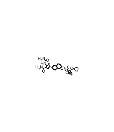 CC(C)(NCc1ccc2cc(-c3cc(C(N)=O)c(NC(N)=O)s3)ccc2c1)C(=O)OC1CCCC1